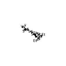 CCO[Si](CCSSSSC(=S)N(C)C)(OCC)OCC